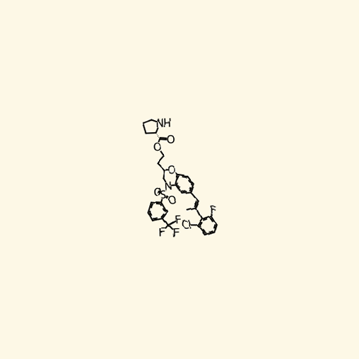 CC(=Cc1ccc2c(c1)N(S(=O)(=O)c1cccc(C(F)(F)F)c1)CC(CCOC(=O)[C@@H]1CCCN1)O2)c1c(F)cccc1Cl